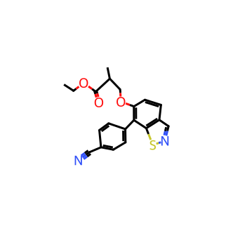 CCOC(=O)C(C)COc1ccc2cnsc2c1-c1ccc(C#N)cc1